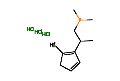 CC(CP(C)C)C1=[C]([Hf])CC=C1.Cl.Cl.Cl